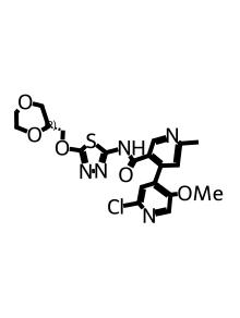 COc1cnc(Cl)cc1-c1cc(C)ncc1C(=O)Nc1nnc(OC[C@H]2COCCO2)s1